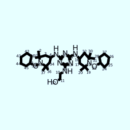 CC1(C)CC(Nc2nc(NCCO)nc(NC3CC(C)(C)N(OC4CCCCC4)C(C)(C)C3)n2)CC(C)(C)N1OC1CCCCC1